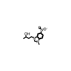 CC(O)CCN1CN(C)c2ccc([N+](=O)[O-])cc21